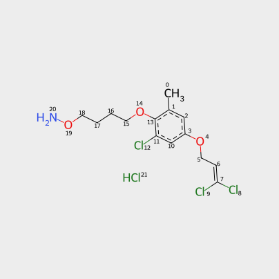 Cc1cc(OCC=C(Cl)Cl)cc(Cl)c1OCCCCON.Cl